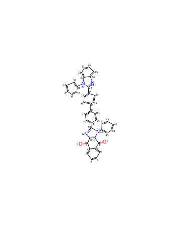 O=C1c2ccccc2C(=O)c2c1nc(-c1ccc(-c3ccc(-c4nc5ccccc5n4-c4ccccc4)cc3)cc1)n2-c1ccccc1